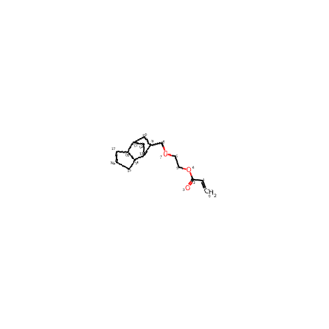 C=CC(=O)OCCOCC1CC2CC1C1CCCC21